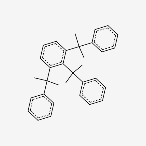 CC(C)(c1ccccc1)c1[c]ccc(C(C)(C)c2ccccc2)c1C(C)(C)c1ccccc1